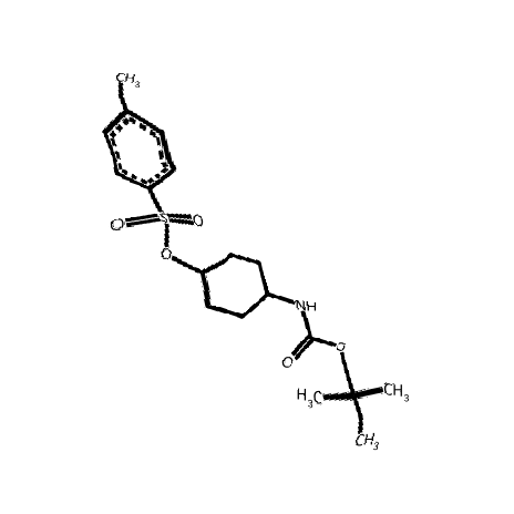 Cc1ccc(S(=O)(=O)OC2CCC(NC(=O)OC(C)(C)C)CC2)cc1